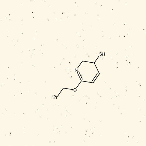 CC(C)COC1=NCC(S)C=C1